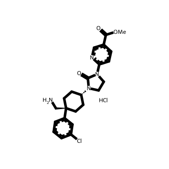 COC(=O)c1ccc(N2CCN([C@H]3CC[C@@](CN)(c4cccc(Cl)c4)CC3)C2=O)nc1.Cl